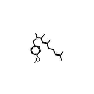 COc1ccc(CC(C)C(C)/C=C(\C)CCC=C(C)C)cc1